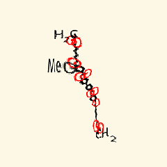 C=CC(=O)OCCCCCCOc1ccc(OC(=O)c2ccc(-c3ccc(OC(=O)c4ccc(OCCCCCCOC(=O)C=C)c(OC)c4)cc3)cc2)cc1